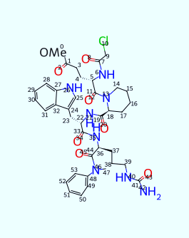 COC(=O)CC[C@H](NC(=O)CCl)C(=O)N1CCCC[C@H]1C(=O)N[C@@H](Cc1c[nH]c2ccccc12)C(=O)N[C@@H](CCCNC(N)=O)C(=O)N(C)c1ccccc1